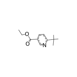 CCOC(=O)c1ccc(C(C)(C)C)nc1